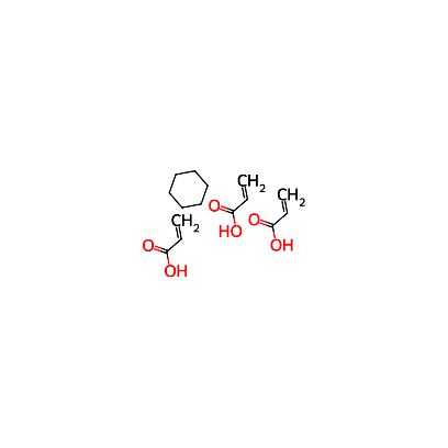 C1CCCCC1.C=CC(=O)O.C=CC(=O)O.C=CC(=O)O